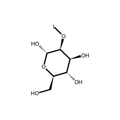 OC[C@H]1O[C@H](O)[C@@H](OI)[C@@H](O)[C@@H]1O